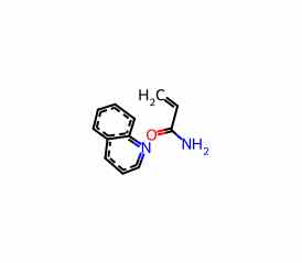 C=CC(N)=O.c1ccc2ncccc2c1